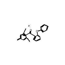 Cc1cc(C)c(C(=O)c2ccccc2Oc2ccccc2)c(C)c1.[P]